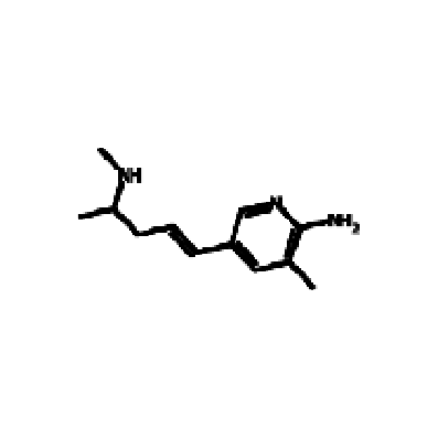 CNC(C)CC=Cc1cnc(N)c(C)c1